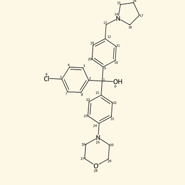 OC(c1ccc(Cl)cc1)(c1ccc(CN2CCCC2)cc1)c1ccc(N2CCOCC2)cc1